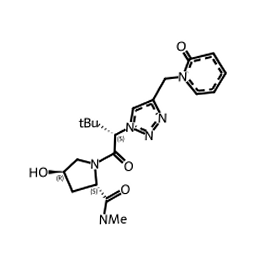 CNC(=O)[C@@H]1C[C@@H](O)CN1C(=O)[C@@H](n1cc(Cn2ccccc2=O)nn1)C(C)(C)C